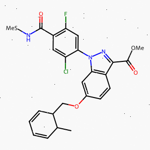 COC(=O)c1nn(-c2cc(F)c(C(=O)NSC)cc2Cl)c2cc(OCC3C=CC=CC3C)ccc12